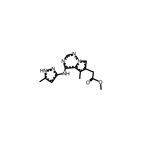 COC(=O)Cc1cn2ncnc(Nc3cc(C)[nH]n3)c2c1C